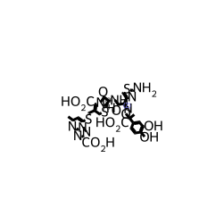 Cc1cc(SCC2=C(C(=O)O)N3C(=O)[C@@H](NC(=O)/C(=N\OC(C)(C(=O)O)c4ccc(O)c(O)c4)c4csc(N)n4)[C@H]3SC2)n2nc(C(=O)O)nc2n1